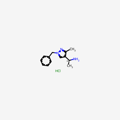 Cc1nn(Cc2ccccc2)cc1[C@H](C)N.Cl